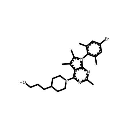 Cc1nc(N2CCC(CCCO)CC2)c2c(C)c(C)n(-c3c(C)cc(Br)cc3C)c2n1